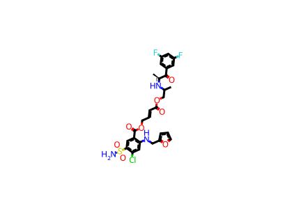 CC(COC(=O)C=CCOC(=O)c1cc(S(N)(=O)=O)c(Cl)cc1NCc1ccco1)N[C@@H](C)C(=O)c1cc(F)cc(F)c1